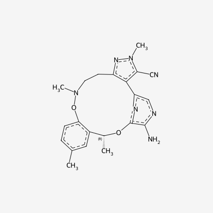 Cc1ccc2c(c1)[C@@H](C)Oc1nc(cnc1N)-c1c(nn(C)c1C#N)CCN(C)O2